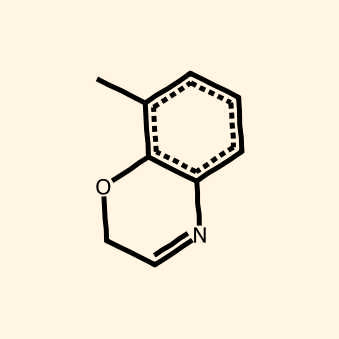 Cc1cccc2c1OCC=N2